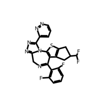 Fc1cccc(F)c1C1=NCc2nnc(-c3cccnn3)n2-c2sc3c(c21)CC(C(F)F)C3